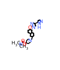 CN(C)C(=O)OC1CCN(Cc2ccc3cc(Oc4ncc(-c5ccn[nH]5)cn4)ccc3c2)CC1